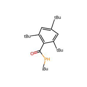 CCC(C)PC(=O)c1c(C(C)(C)C)cc(C(C)(C)C)cc1C(C)(C)C